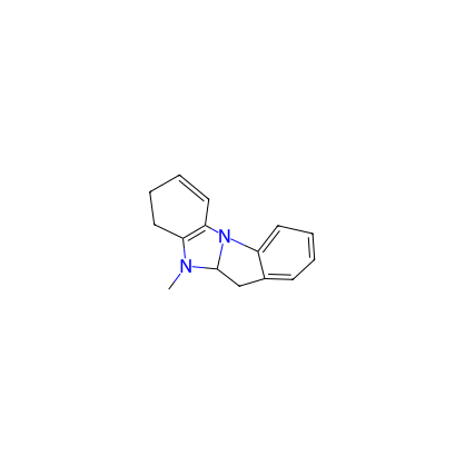 CN1C2=C(C=CCC2)N2c3ccccc3CC12